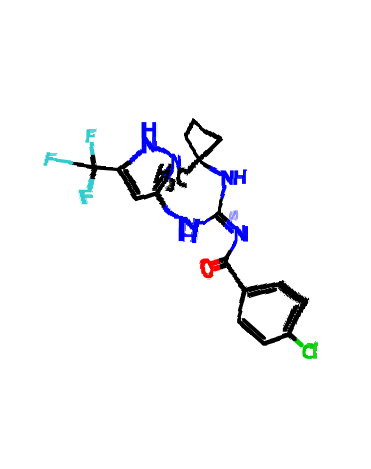 CC1(N/C(=N/C(=O)c2ccc(Cl)cc2)Nc2cc(C(F)(F)F)[nH]n2)CCC1